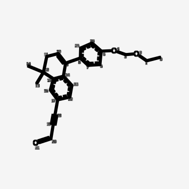 CCOCOc1ccc(C2=CCC(C)(C)c3cc(C#CC=O)ccc32)cc1